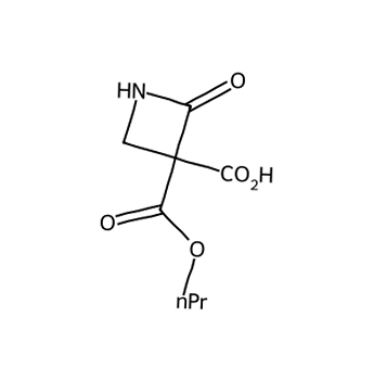 CCCOC(=O)C1(C(=O)O)CNC1=O